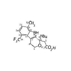 CCCCC1(CC(=O)O)OCCc2c1[nH]c1c(C)ccc(C(F)(F)F)c21